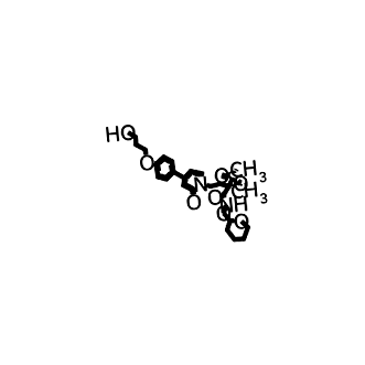 CC(CCn1ccc(-c2ccc(OCCCO)cc2)cc1=O)(C(=O)NOC1CCCCO1)S(C)(=O)=O